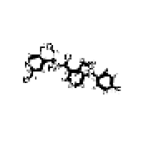 O=C(N[C@@H](CO)c1ccnc(Br)c1)c1cncc2c1cnn2-c1ccc(F)cc1